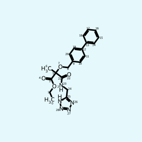 CCOC(=O)C(C)(OCc1ccc(-c2ccccc2)cc1)C(=O)NCc1nnn[nH]1